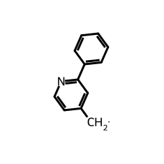 [CH2]c1ccnc(-c2ccccc2)c1